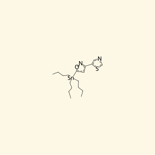 CCC[CH2][Sn]([CH2]CCC)([CH2]CCC)[c]1cc(-c2cncs2)no1